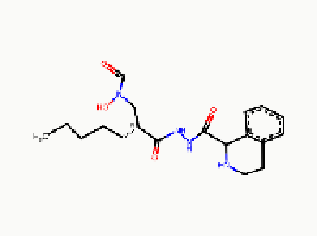 CCCCC[C@H](CN(O)C=O)C(=O)NNC(=O)C1NCCc2ccccc21